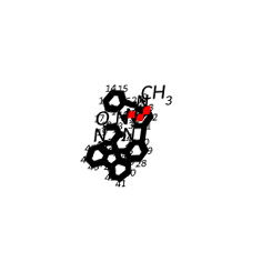 Cn1c2[n+](c3ccccc31)[N+]13c4c(cccc4-2)Oc2ncc4c(c21)-n1c2c(cccc2c2ccc[n+]3c21)C41c2ccccc2-c2ccccc21